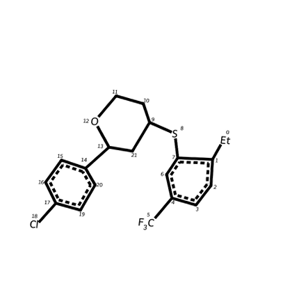 CCc1ccc(C(F)(F)F)cc1SC1CCOC(c2ccc(Cl)cc2)C1